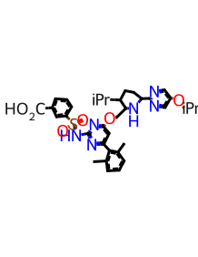 Cc1cccc(C)c1-c1cc(OCC2NC(c3ncc(OC(C)C)cn3)CCC2C(C)C)nc(NS(=O)(=O)c2cccc(C(=O)O)c2)n1